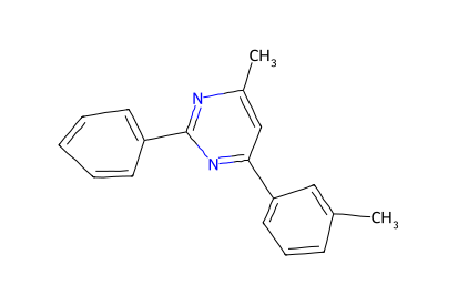 Cc1cccc(-c2cc(C)nc(-c3ccccc3)n2)c1